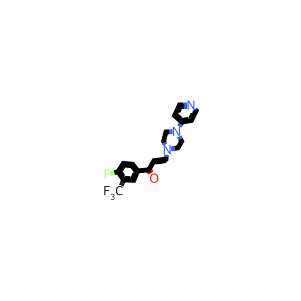 O=C(C=CN1CCN(c2ccncc2)CC1)c1ccc(F)c(C(F)(F)F)c1